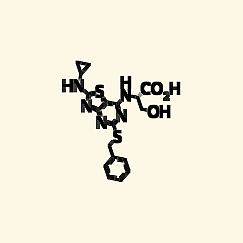 O=C(O)[C@H](CO)Nc1nc(SCc2ccccc2)nc2nc(NC3CC3)sc12